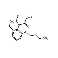 CCCCOc1cccc(CC)c1N(CCl)C(=O)CCl